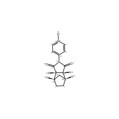 O=C1[C@@H]2[C@@H]3CC[C@@H](C3)[C@@H]2C(=O)N1c1cc[n+]([O-])cc1